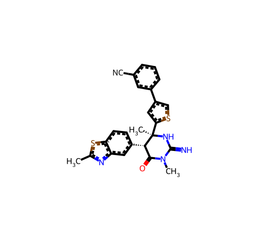 Cc1nc2cc([C@H]3C(=O)N(C)C(=N)N[C@]3(C)c3cc(-c4cccc(C#N)c4)cs3)ccc2s1